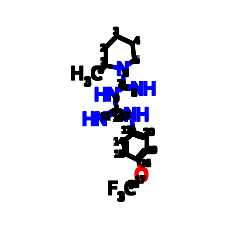 CC1CCCCN1C(=N)NC(=N)Nc1ccc(OC(F)(F)F)cc1